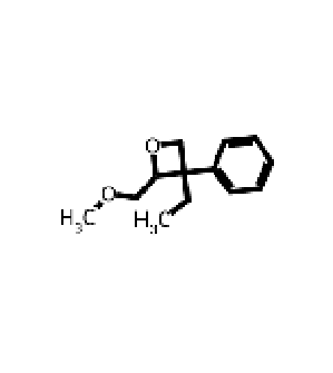 CCC1(c2ccccc2)COC1COC